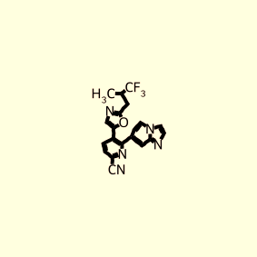 CC(Cc1ncc(-c2ccc(C#N)nc2-c2ccn3ccnc3c2)o1)C(F)(F)F